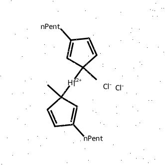 CCCCCC1=C[C](C)([Hf+2][C]2(C)C=CC(CCCCC)=C2)C=C1.[Cl-].[Cl-]